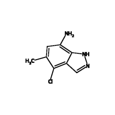 Cc1cc(N)c2[nH]ncc2c1Cl